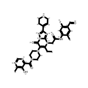 CCc1c(N2CCN(C(=O)c3ncnc(C)c3O)CC2)c(=O)n2nc(C3=CCOCC3)nc2n1CC(=O)Nc1cc(F)c(C=O)cc1C